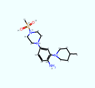 CC1CCN(c2cc(N3CCN(S(C)(=O)=O)CC3)ccc2N)CC1